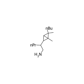 CCCCC1(C)C2C(C(CN)CCC)C21C